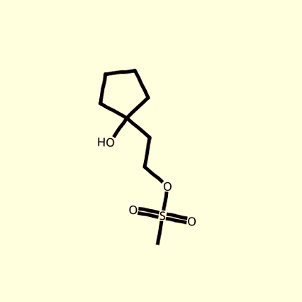 CS(=O)(=O)OCCC1(O)CCCC1